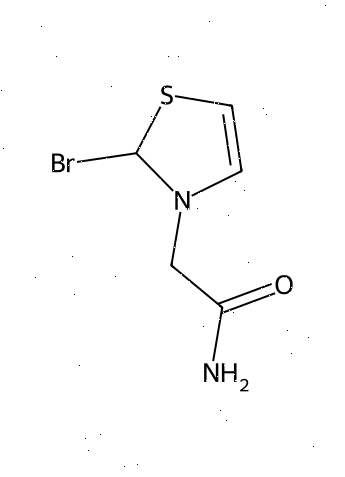 NC(=O)CN1C=CSC1Br